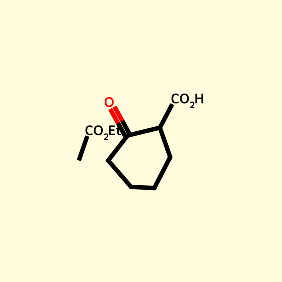 CCOC(C)=O.O=C(O)C1CCCCC1=O